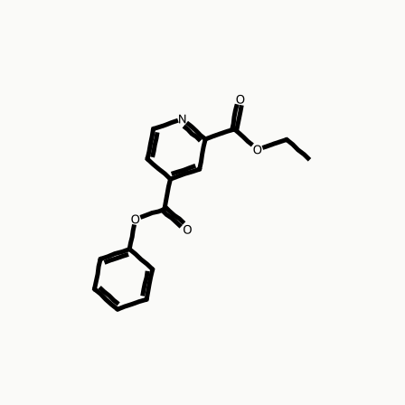 CCOC(=O)c1cc(C(=O)Oc2ccccc2)ccn1